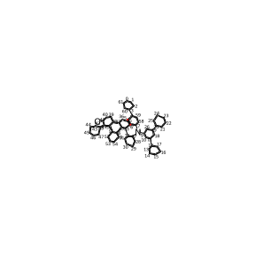 c1ccc(-c2ccc(N(c3cc(-c4ccccc4)cc(-c4ccccc4)c3)c3ccccc3-c3cccc4c5ccc6oc7ccccc7c6c5c5ccccc5c34)cc2)cc1